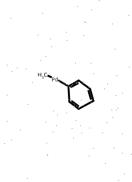 [CH3][Pd][c]1ccccc1